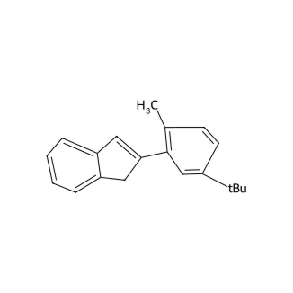 Cc1ccc(C(C)(C)C)cc1C1=Cc2ccccc2C1